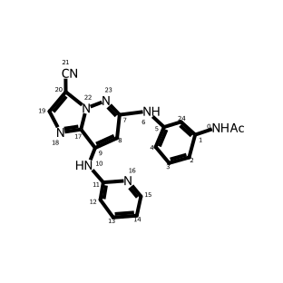 CC(=O)Nc1cccc(Nc2cc(Nc3ccccn3)c3ncc(C#N)n3n2)c1